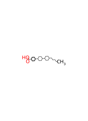 CCCCCC1CCC(C2CCC(c3ccc(C(=O)O)cc3)CC2)CC1